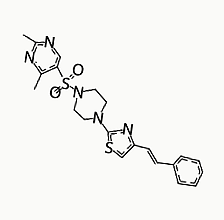 Cc1ncc(S(=O)(=O)N2CCN(c3nc(C=Cc4ccccc4)cs3)CC2)c(C)n1